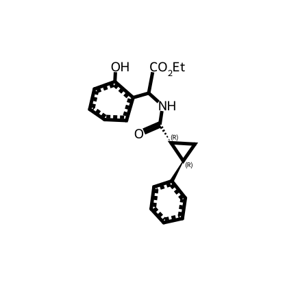 CCOC(=O)C(NC(=O)[C@@H]1C[C@H]1c1ccccc1)c1ccccc1O